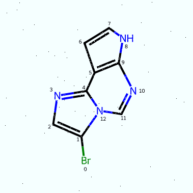 Brc1cnc2c3cc[nH]c3ncn12